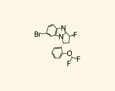 FC(F)Oc1ccccc1[C@H]1C[C@H](F)c2nc3ccc(Br)cc3n21